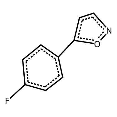 Fc1ccc(-c2ccno2)cc1